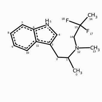 CC(Cc1c[nH]c2ccccc12)N(C)CC(C)(F)F